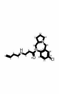 C=CCCNCCC(=O)N1CC2CCCN2Cc2cc(Cl)ccc21